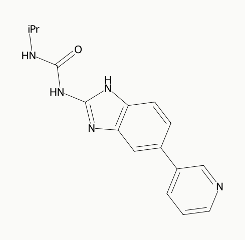 CC(C)NC(=O)Nc1nc2cc(-c3cccnc3)ccc2[nH]1